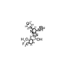 Cc1c(Cc2c(CO)nc3c(NC(C)(C)C)cc(N4CCOCC4)nn23)cccc1C(F)(F)F